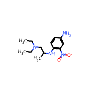 CCN(CC)CC(C)Nc1ccc(N)cc1[N+](=O)[O-]